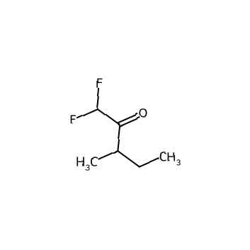 CCC(C)C(=O)C(F)F